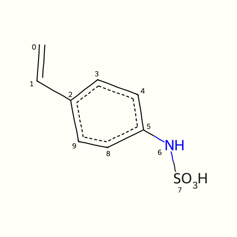 C=Cc1ccc(NS(=O)(=O)O)cc1